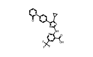 O=C(O)c1cc(C(F)(F)F)cnc1Nc1nc(-c2ccc(-n3ccccc3=O)cc2)c(C2CC2)s1